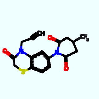 C#CCN1C(=O)CSc2ccc(N3C(=O)CC(C(F)(F)F)CC3=O)cc21